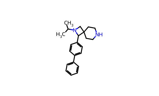 CC(C)N1CC2(CCNCC2)C1c1ccc(-c2ccccc2)cc1